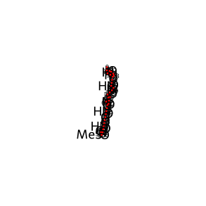 C=C1C[C@H]2C=Nc3cc(OCCCC(=O)Nc4cn(C)c(C(=O)Cc5ccc(-c6cc(C(=O)OCCCNC(=O)CCOCCOCCNC(=O)CCN7C(=O)CC(SC)C7=O)n(C)c6)cc5)n4)c(C)cc3C(=O)N2C1